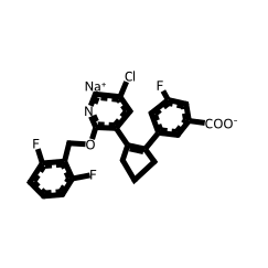 O=C([O-])c1cc(F)cc(C2=C(c3cc(Cl)cnc3OCc3c(F)cccc3F)CCC2)c1.[Na+]